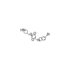 N#Cc1ccc2c(c1)CN(Cc1cc(=O)c(OCC3CCNCC3)co1)C2